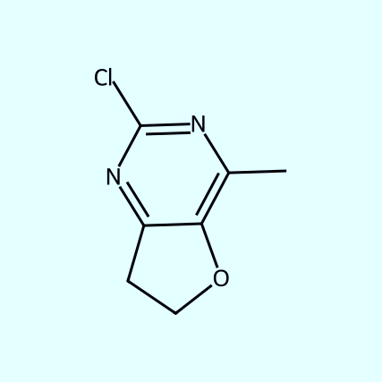 Cc1nc(Cl)nc2c1OCC2